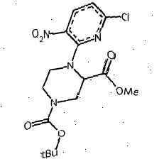 COC(=O)C1CN(C(=O)OC(C)(C)C)CCN1c1nc(Cl)ccc1[N+](=O)[O-]